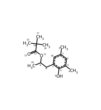 Cc1cc(C)c(O)c(CC(C)OC(=O)C(C)(C)C)c1